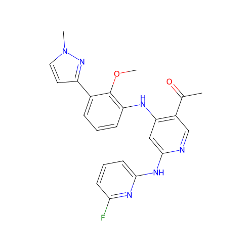 COc1c(Nc2cc(Nc3cccc(F)n3)ncc2C(C)=O)cccc1-c1ccn(C)n1